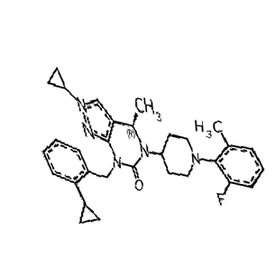 Cc1cccc(F)c1N1CCC(N2C(=O)N(Cc3ccccc3C3CC3)c3nn(C4CC4)cc3[C@H]2C)CC1